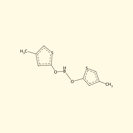 Cc1csc(OBOc2cc(C)cs2)c1